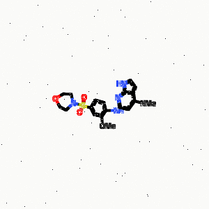 CNc1cc(Nc2ccc(S(=O)(=O)N3CCOCC3)cc2OC)nc2[nH]ccc12